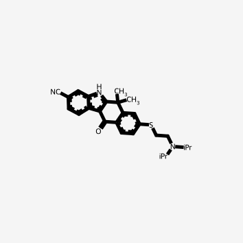 CC(C)N(CCSc1ccc2c(c1)C(C)(C)c1[nH]c3cc(C#N)ccc3c1C2=O)C(C)C